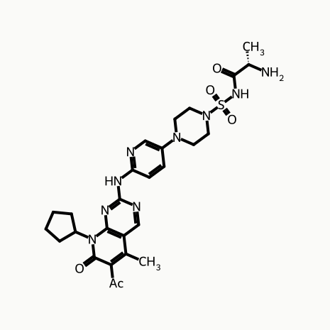 CC(=O)c1c(C)c2cnc(Nc3ccc(N4CCN(S(=O)(=O)NC(=O)[C@H](C)N)CC4)cn3)nc2n(C2CCCC2)c1=O